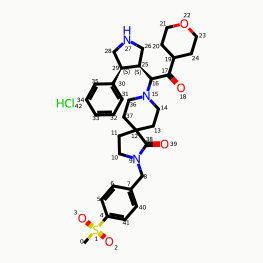 CS(=O)(=O)c1ccc(CN2CCC3(CCN(C(C(=O)C4CCOCC4)[C@@H]4CNC[C@@H]4c4ccccc4)CC3)C2=O)cc1.Cl